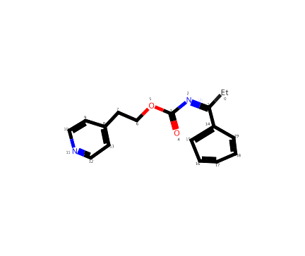 CC/C(=N/C(=O)OCCc1ccncc1)c1ccccc1